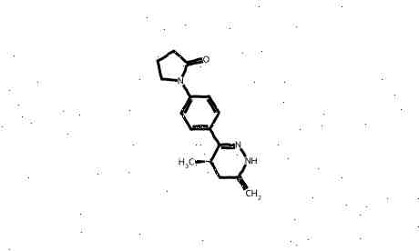 C=C1C[C@@H](C)C(c2ccc(N3CCCC3=O)cc2)=NN1